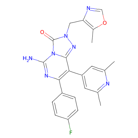 Cc1cc(-c2c(-c3ccc(F)cc3)nc(N)n3c(=O)n(Cc4ncoc4C)nc23)cc(C)n1